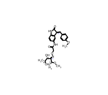 COc1ccc(/C=C2/C(=O)Nc3ccc(NC(=O)CO/N=C(/[C@H](C)OC)[C@@H](O)[C@@H](C)O)cc32)cc1